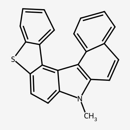 Cn1c2ccc3ccccc3c2c2c3c(ccc21)sc1ccccc13